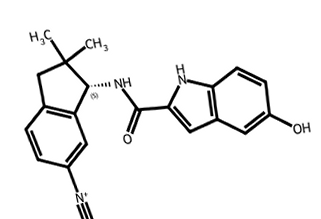 [C-]#[N+]c1ccc2c(c1)[C@@H](NC(=O)c1cc3cc(O)ccc3[nH]1)C(C)(C)C2